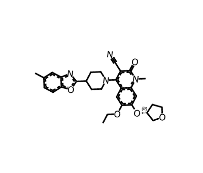 CCOc1cc2c(N3CCC(c4nc5cc(C)ccc5o4)CC3)c(C#N)c(=O)n(C)c2cc1O[C@@H]1CCOC1